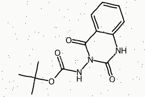 CC(C)(C)OC(=O)Nn1c(=O)[nH]c2ccccc2c1=O